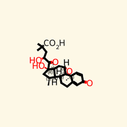 C[C@H]1C[C@](O)(C(=O)C(O)CC(C)(C)C(=O)O)[C@@]2(C)C[C@@H]3O[C@]34[C@@H](CCC3=CC(=O)C=C[C@@]34C)[C@H]12